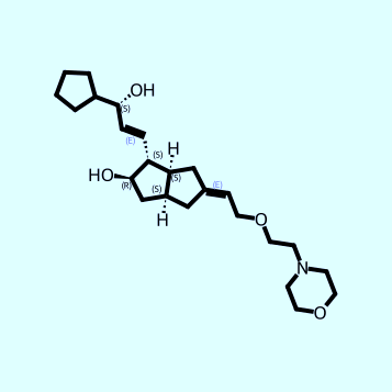 O[C@H](/C=C/[C@@H]1[C@H]2C/C(=C/COCCN3CCOCC3)C[C@H]2C[C@H]1O)C1CCCC1